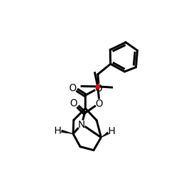 CC(C)(C)OC(=O)N1[C@@H]2CC[C@H]1CC(C(=O)OCc1ccccc1)C2